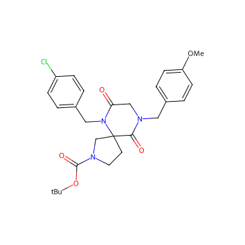 COc1ccc(CN2CC(=O)N(Cc3ccc(Cl)cc3)C3(CCN(C(=O)OC(C)(C)C)C3)C2=O)cc1